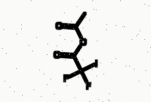 CC(=O)OC(=O)C(F)(F)I